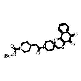 CC(C)(C)OC(=O)N1CCC(CC(=O)N2CCC3(CC2)CSC2=C(O3)c3ccccc3C(=O)C2=O)CC1